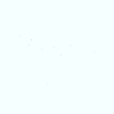 COCC(C)(C)CNC(=O)c1nc(N[C@H]2CCCC[C@H]2NC(C)=N)c2cc(F)ccc2n1.Cl.Cl